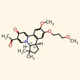 COCCCOc1cc2c(cc1OC)-c1cc(=O)c(C(C)=O)cn1[C@H]1[C@H]2CCC1(C)C